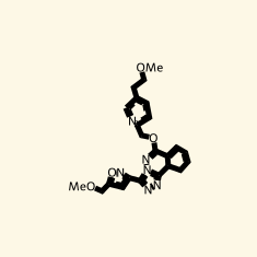 COCCc1ccc(COC2=Nn3c(-c4cc(COC)on4)nnc3C3CC=CC=C23)nc1